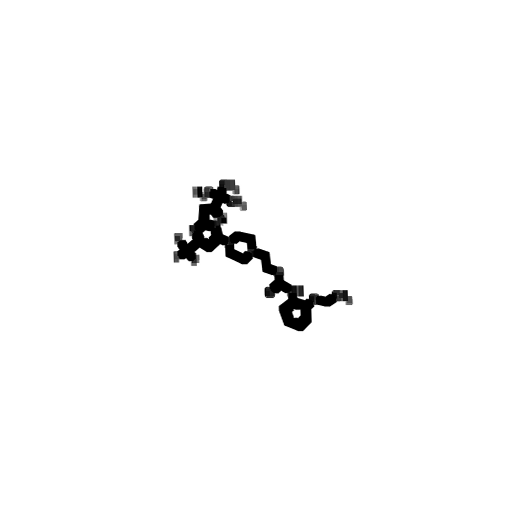 CCOc1ccccc1NC(=O)OCCN1CCN(c2cc(C(F)(F)F)nc3cc(C(C)(C)C)nn23)CC1